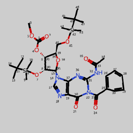 COC(=O)O[C@H]1[C@@H](O[Si](C)(C)C(C)(C)C)[C@H](n2cnc3c(=O)n(C(=O)c4ccccc4)c(NC(C)=O)nc32)O[C@@H]1CO[Si](C)(C)C(C)(C)C